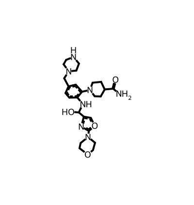 NC(=O)C1CCN(c2cc(CN3CCNCC3)ccc2NC(O)c2coc(N3CCOCC3)n2)CC1